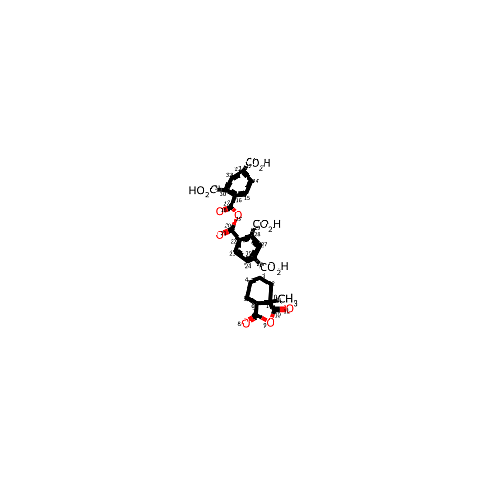 CC12CCCCC1C(=O)OC2=O.O=C(O)c1ccc(C(=O)OC(=O)c2ccc(C(=O)O)cc2C(=O)O)c(C(=O)O)c1